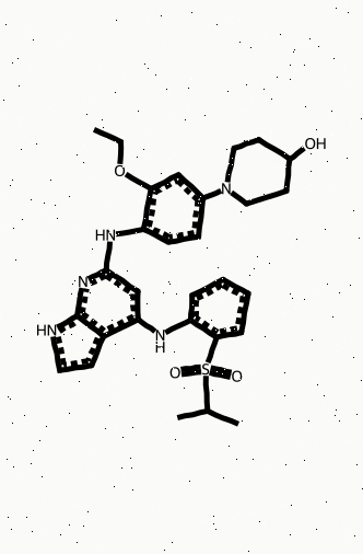 CCOc1cc(N2CCC(O)CC2)ccc1Nc1cc(Nc2ccccc2S(=O)(=O)C(C)C)c2cc[nH]c2n1